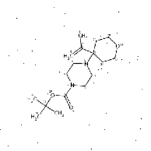 C=C(C)C1(N2CCN(C(=O)OC(C)(C)C)CC2)CCOCC1